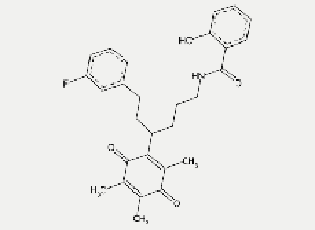 CC1=C(C)C(=O)C(C(CCCNC(=O)c2ccccc2O)CCc2cccc(F)c2)=C(C)C1=O